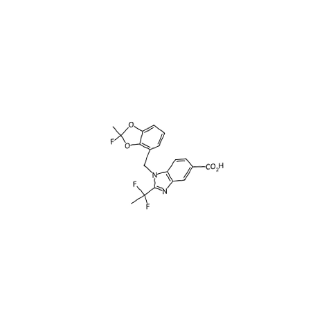 CC1(F)Oc2cccc(Cn3c(C(C)(F)F)nc4cc(C(=O)O)ccc43)c2O1